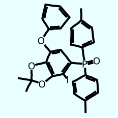 Cc1ccc(P(=O)(c2ccc(C)cc2)c2cc(Oc3ccccc3)c3c(c2I)OC(C)(C)O3)cc1